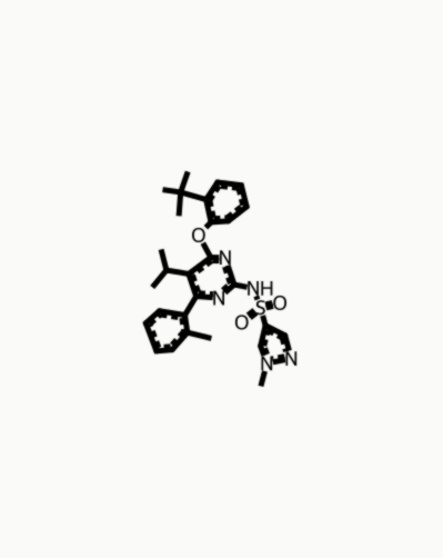 Cc1ccccc1-c1nc(NS(=O)(=O)c2cnn(C)c2)nc(Oc2ccccc2C(C)(C)C)c1C(C)C